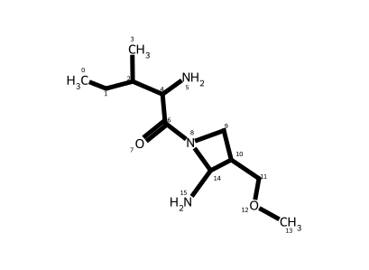 CCC(C)C(N)C(=O)N1CC(COC)C1N